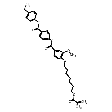 C=C(C)C(=O)OCCCCCCCOc1ccc(C(=O)Oc2ccc(C(=O)Oc3ccc(CC)cc3)cc2)cc1OC